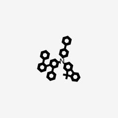 CC1(C)c2ccccc2-c2ccc(N(c3ccc(-c4ccccc4)cc3)c3ccc(-c4ccccc4-c4ccccc4)c(-c4ccccc4)c3)cc21